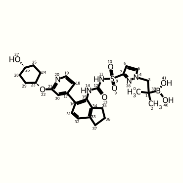 CC(C)(Cn1ccc(S(=O)(=O)NC(=O)Nc2c(-c3ccnc(O[C@H]4CC[C@@H](O)CC4)c3)ccc3c2CCC3)n1)B(O)O